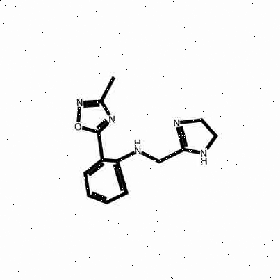 Cc1noc(-c2ccccc2NCC2=NCCN2)n1